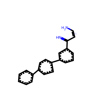 N=C(/C=C\N)c1cccc(-c2ccc(-c3ccccc3)cc2)c1